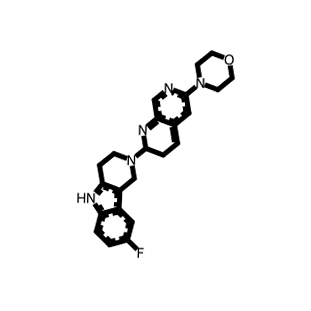 Fc1ccc2[nH]c3c(c2c1)CN(C1CC=c2cc(N4CCOCC4)ncc2=N1)CC3